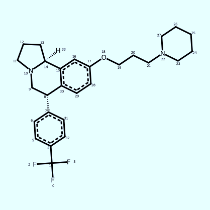 FC(F)(F)c1ccc([C@@H]2CN3CCC[C@H]3c3cc(OCCCN4CCCCC4)ccc32)cc1